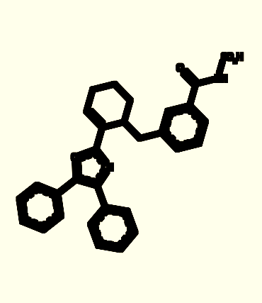 O=C(NS(=O)(=O)O)c1cccc(CC2CCCC=C2c2nc(-c3ccccc3)c(-c3ccccc3)o2)c1